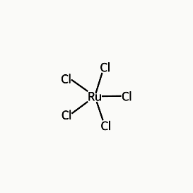 [Cl][Ru]([Cl])([Cl])([Cl])[Cl]